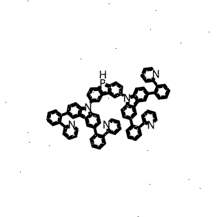 c1ccc(-c2ccccc2-c2ccc3c(c2)c2cc(-c4ccccc4-c4ccccn4)ccc2n3-c2ccc3[pH]c4ccc(-n5c6ccc(-c7ccccc7-c7ccccn7)cc6c6cc(-c7ccccc7-c7ccccn7)ccc65)cc4c3c2)nc1